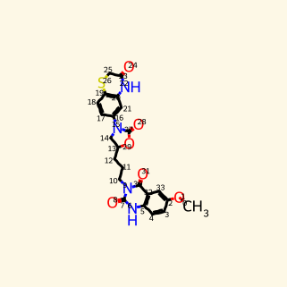 COc1ccc2[nH]c(=O)n(CCCC3CN(c4ccc5c(c4)NC(=O)CS5)C(=O)O3)c(=O)c2c1